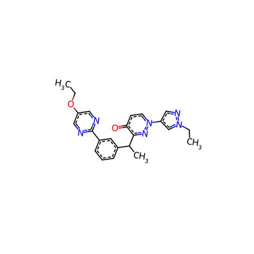 CCOc1cnc(-c2cccc(C(C)c3nn(-c4cnn(CC)c4)ccc3=O)c2)nc1